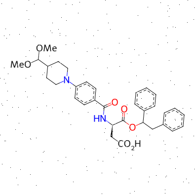 COC(OC)C1CCN(c2ccc(C(=O)N[C@H](CC(=O)O)C(=O)OC(Cc3ccccc3)c3ccccc3)cc2)CC1